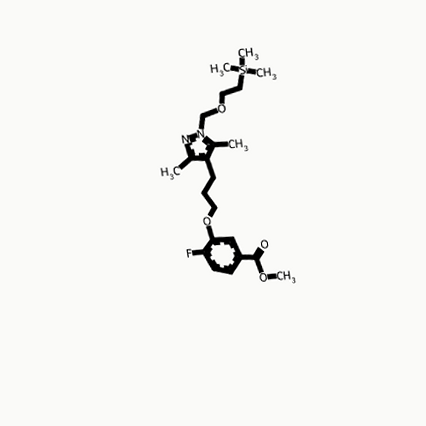 COC(=O)c1ccc(F)c(OCCCc2c(C)nn(COCC[Si](C)(C)C)c2C)c1